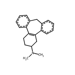 CN(C)C1CCC2=C(C1)c1ccccc1Cc1ccccc12